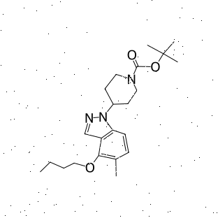 CCCCOc1c(C)ccc2c1cnn2C1CCN(C(=O)OC(C)(C)C)CC1